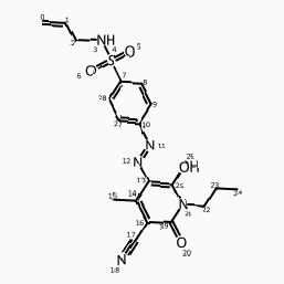 C=CCNS(=O)(=O)c1ccc(N=Nc2c(C)c(C#N)c(=O)n(CCC)c2O)cc1